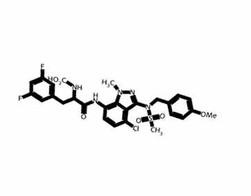 COc1ccc(CN(c2nn(C)c3c(NC(=O)C(Cc4cc(F)cc(F)c4)NC(=O)O)ccc(Cl)c23)S(C)(=O)=O)cc1